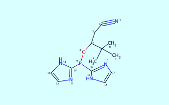 CC(C)(C)C(CC#N)OP(c1ncc[nH]1)c1ncc[nH]1